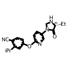 CC[C@H]1NCN(c2ccc(Oc3ccc(C#N)c(C(C)C)c3)nc2)C1=O